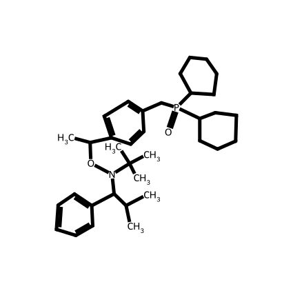 CC(ON(C(c1ccccc1)C(C)C)C(C)(C)C)c1ccc(CP(=O)(C2CCCCC2)C2CCCCC2)cc1